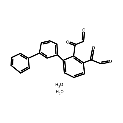 O.O.O=CC(=O)c1cccc(-c2cccc(-c3ccccc3)c2)c1C(=O)C=O